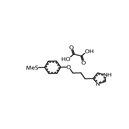 CSc1ccc(OCCCc2c[nH]cn2)cc1.O=C(O)C(=O)O